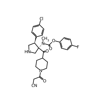 CN(C(=O)Oc1ccc(F)cc1)[C@]1(C(=O)C2CCN(C(=O)CC#N)CC2)CNC[C@H]1c1ccc(Cl)cc1